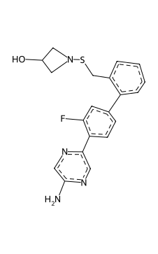 Nc1cnc(-c2ccc(-c3ccccc3CSN3CC(O)C3)cc2F)cn1